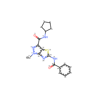 CC(C)(C)n1nc(C(=O)NC2CCCC2)c2sc(NC(=O)c3ccccc3)nc21